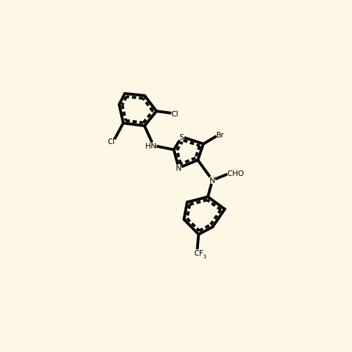 O=CN(c1ccc(C(F)(F)F)cc1)c1nc(Nc2c(Cl)cccc2Cl)sc1Br